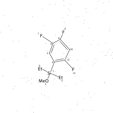 CC[Si](CC)(OC)c1cc(F)c(F)cc1F